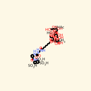 CC(=O)NC1C(OCCCCCCCCC(=O)NCCNc2c(Nc3cccc(C(=O)Nc4ccc(S(=O)(=O)O)c5cc(S(=O)(=O)O)cc(S(=O)(=O)O)c45)c3)c(=O)c2=O)OC(CO)C(OC2OC(CO)C(O)C(OC3(C(=O)O)CC(O)C(NC(C)=O)C([C@H](O)[C@H](O)CO)O3)C2O)C1OC1OC(C)C(O)C(O)C1O